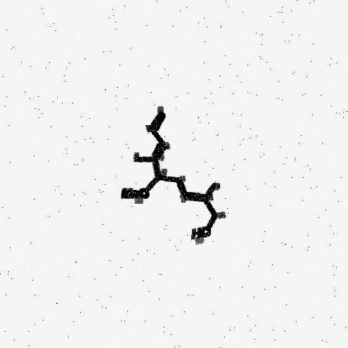 C=C/C=C(\C)C(C/C=C(\C)CO)OC